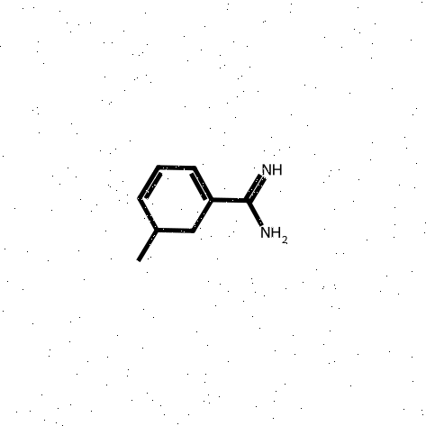 CC1C=CC=C(C(=N)N)C1